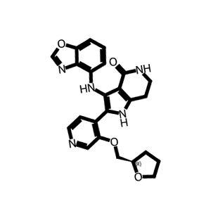 O=C1NCCc2[nH]c(-c3ccncc3OC[C@H]3CCCO3)c(Nc3cccc4ocnc34)c21